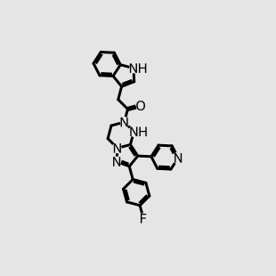 O=C(Cc1c[nH]c2ccccc12)N1CCn2nc(-c3ccc(F)cc3)c(-c3ccncc3)c2N1